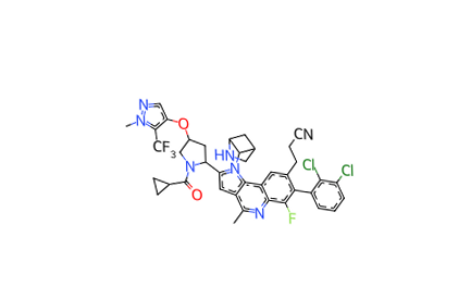 Cc1nc2c(F)c(-c3cccc(Cl)c3Cl)c(CCC#N)cc2c2c1cc(C1CC(Oc3cnn(C)c3C(F)(F)F)CN1C(=O)C1CC1)n2C1C2CNC1C2